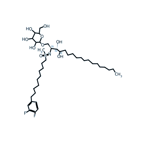 CCCCCCCCCCCCCC[C@@H](O)[C@@H](O)[C@H](COC1OC(CO)C(O)C(O)C1O)N=S(C)(=O)CCCCCCCCCCc1ccc(F)c(F)c1